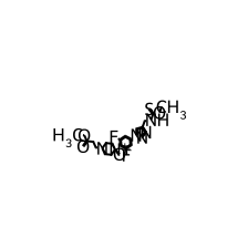 COC(=O)CCN1CC[N+]([O-])(c2c(F)cc(-n3cc(CNC(=S)OC)nn3)cc2F)CC1